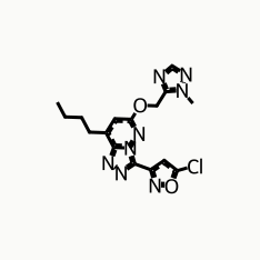 CCCCc1cc(OCc2ncnn2C)nn2c(-c3cc(Cl)on3)nnc12